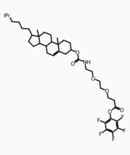 CC(C)CCCCC1CCC2C3CC=C4CC(OC(=O)NCCOCCOCCC(=O)Oc5c(F)c(F)c(F)c(F)c5F)CCC4(C)C3CCC12C